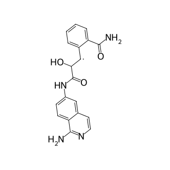 NC(=O)c1ccccc1[CH]C(O)C(=O)Nc1ccc2c(N)nccc2c1